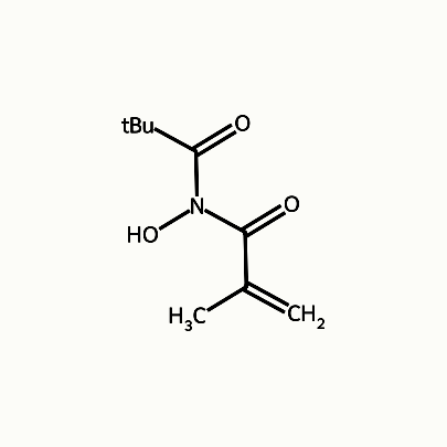 C=C(C)C(=O)N(O)C(=O)C(C)(C)C